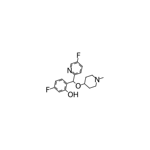 CN1CCC(OC(c2ccc(F)cn2)c2ccc(F)cc2O)CC1